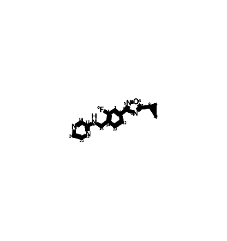 Fc1cc(-c2noc(C3CC3)n2)ccc1CNc1cnccn1